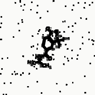 CC(C)NC(=O)c1ccc([N+](=O)[O-])c(C(F)(F)F)c1